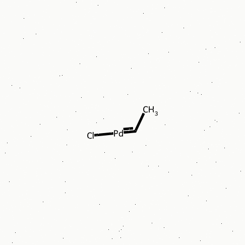 C[CH]=[Pd][Cl]